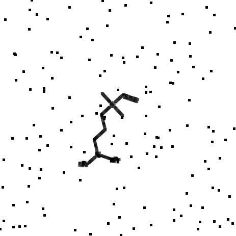 C=C[Si](C)(C)CCCN(CCC)CCC